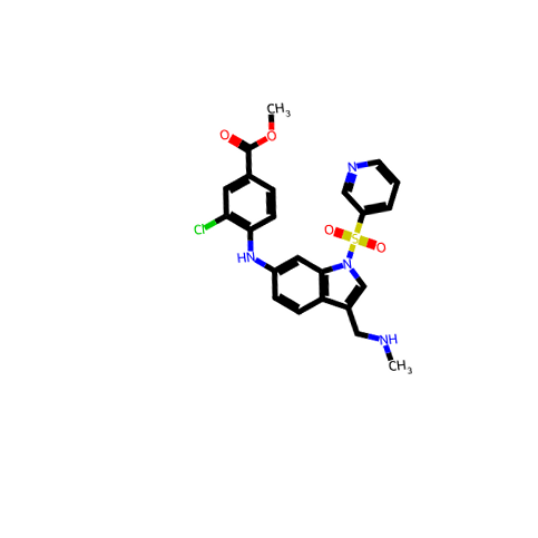 CNCc1cn(S(=O)(=O)c2cccnc2)c2cc(Nc3ccc(C(=O)OC)cc3Cl)ccc12